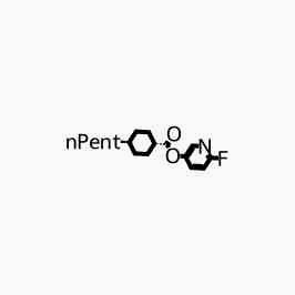 CCCCC[C@H]1CC[C@H](C(=O)Oc2ccc(F)nc2)CC1